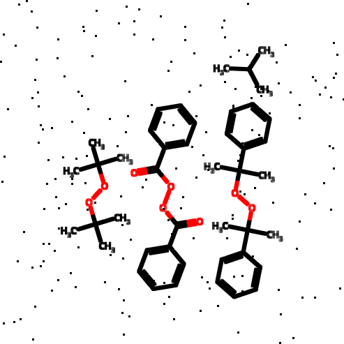 CC(C)(C)OOC(C)(C)C.CC(C)(OOC(C)(C)c1ccccc1)c1ccccc1.C[C](C)C.O=C(OOC(=O)c1ccccc1)c1ccccc1